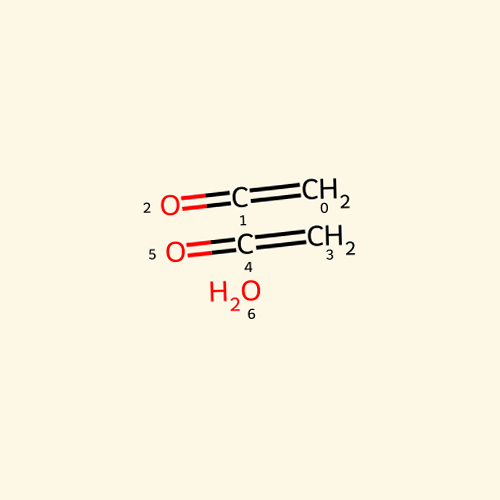 C=C=O.C=C=O.O